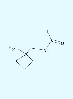 CC1(CNC(=O)I)CCC1